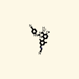 COc1ccc(-c2c(C)cc(/C=C/C#N)cc2C)c2nc(Nc3ccc(C#N)cc3)nc(N)c12